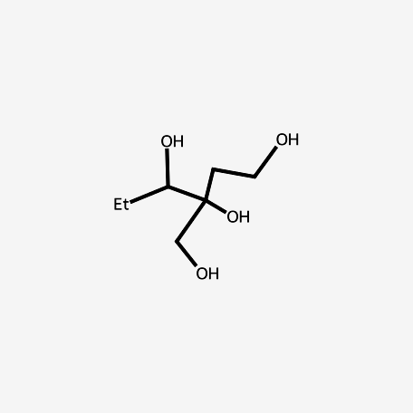 CCC(O)C(O)(CO)CCO